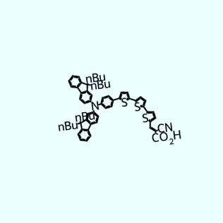 CCCCC1(CCCC)c2ccccc2-c2ccc(N(c3ccc(-c4ccc(-c5ccc(-c6ccc(/C=C(\C#N)C(=O)O)s6)s5)s4)cc3)c3ccc4c(c3)C(CCCC)(CCCC)c3ccccc3-4)cc21